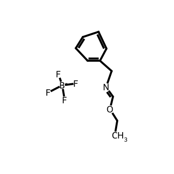 CCOC=NCc1ccccc1.F[B-](F)(F)F